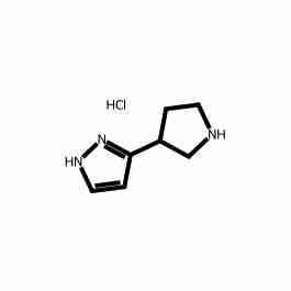 Cl.c1cc(C2CCNC2)n[nH]1